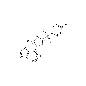 Cc1ccc(S(=O)(=O)N2C[C@H]([C@@H](NC(=O)O)c3ccco3)[C@H](O)C2)cc1